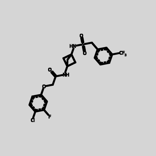 O=C(COc1ccc(Cl)c(F)c1)NC12CC(NS(=O)(=O)Cc3cccc(C(F)(F)F)c3)(C1)C2